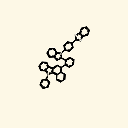 C1=CC2=c3c(c4ccccc4n3-c3ccccc3)=CC(c3ccccc3-c3cc4ccccc4n3-c3ccc(-c4nc5ccccc5o4)cc3)C2C=C1